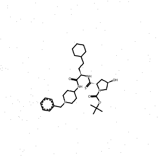 CC(C)(C)OC(=O)N1C[C@H](O)C[C@H]1C(=S)N[C@H](CCC1CCCCC1)C(=O)NC1CCN(Cc2ccccc2)CC1